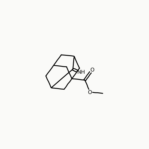 COC(=O)C12CC3CC(C1)C(=N)C(C3)C2